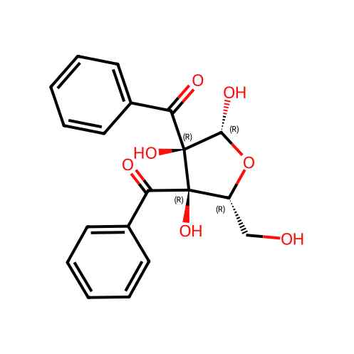 O=C(c1ccccc1)[C@@]1(O)[C@@H](CO)O[C@@H](O)[C@@]1(O)C(=O)c1ccccc1